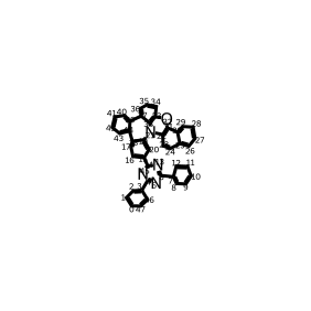 c1ccc(-c2nc(-c3ccccc3)nc(-c3ccc4c(c3)N3c5ccc6ccccc6c5Oc5cccc(c53)-c3ccccc3-4)n2)cc1